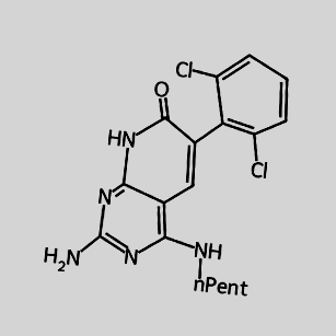 CCCCCNc1nc(N)nc2[nH]c(=O)c(-c3c(Cl)cccc3Cl)cc12